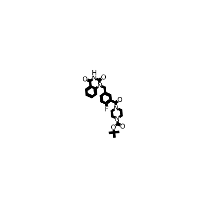 CC(C)(C)OC(=O)N1CCN(C(=O)c2cc(Cn3c(=O)[nH]c(=O)c4ccccc43)ccc2F)CC1